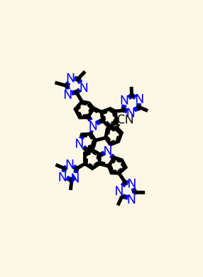 Cc1nc(C)nc(-c2ccc3c(c2)c2cc(-c4nc(C)nc(C)n4)ccc2n3-c2ccc(C#N)cc2-c2ccncc2-n2c3ccc(-c4nc(C)nc(C)n4)cc3c3cc(-c4nc(C)nc(C)n4)ccc32)n1